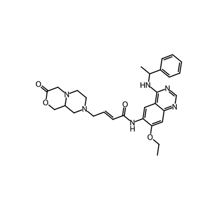 CCOc1cc2ncnc(NC(C)c3ccccc3)c2cc1NC(=O)C=CCN1CCN2CC(=O)OCC2C1